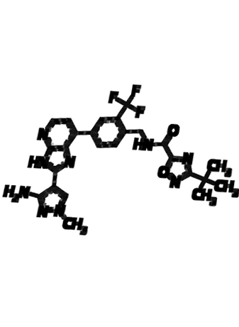 Cn1cc(-c2nc3c(-c4ccc(CNC(=O)c5nc(C(C)(C)C)no5)c(C(F)(F)F)c4)ccnc3[nH]2)c(N)n1